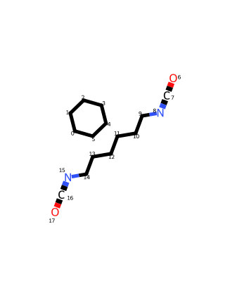 C1CCCCC1.O=C=NCCCCCCN=C=O